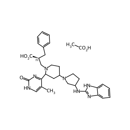 CC(=O)O.Cc1c[nH]c(=O)nc1C1CC(N2CCC(Nc3nc4ccccc4[nH]3)C2)CCN1C[C@H](Cc1ccccc1)C(=O)O